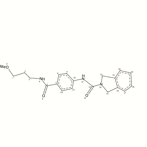 COCCCNC(=O)c1ccc(NC(=O)N2Cc3ccccc3C2)cc1